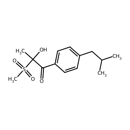 CC(C)Cc1ccc(C(=O)C(C)(O)S(C)(=O)=O)cc1